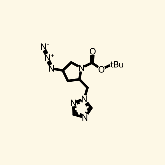 CC(C)(C)OC(=O)N1CC(N=[N+]=[N-])CC1Cn1cncn1